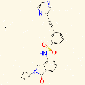 O=C1c2cccc(NS(=O)(=O)c3cccc(C#Cc4cnccn4)c3)c2CN1C1CCC1